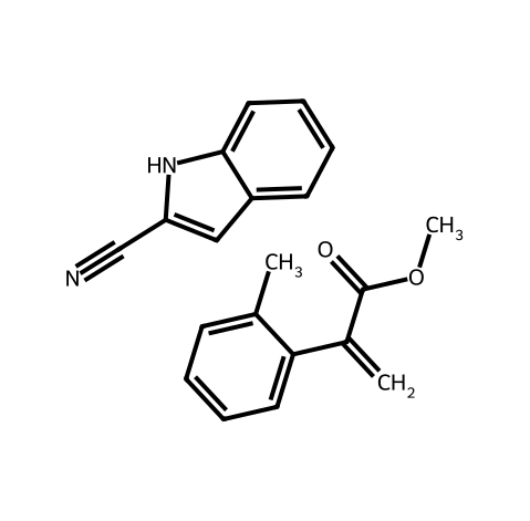 C=C(C(=O)OC)c1ccccc1C.N#Cc1cc2ccccc2[nH]1